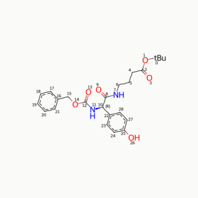 CC(C)(C)OC(=O)CCCNC(=O)[C@H](NC(=O)OCc1ccccc1)c1ccc(O)cc1